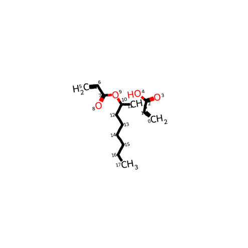 C=CC(=O)O.C=CC(=O)OC(C)CCCCCC